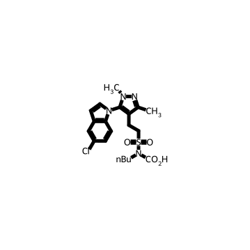 CCCCN(C(=O)O)S(=O)(=O)CCc1c(C)nn(C)c1-n1ccc2cc(Cl)ccc21